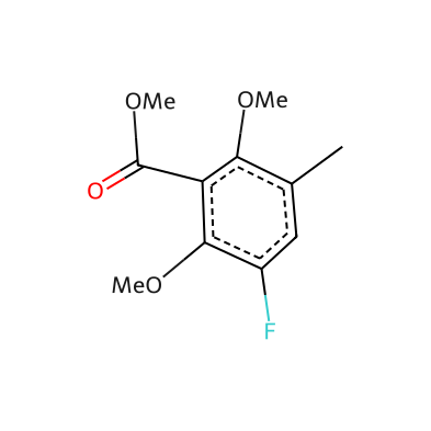 COC(=O)c1c(OC)c(C)cc(F)c1OC